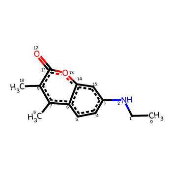 CCNc1ccc2c(C)c(C)c(=O)oc2c1